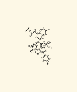 Cc1cnc2c(NC(=O)C3CC3)cc(C(=O)NC[C@](O)(c3cc4c(c(-c5ccc(F)cc5)n3)OC[C@]4(CF)C(N)=O)C(F)(F)F)cc2c1